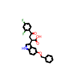 O=C(CC(C(=O)O)c1c[nH]c2ccc(OCc3ccccc3)cc12)c1ccc(F)cc1F